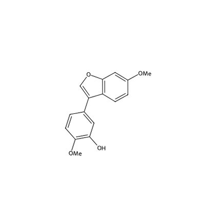 COc1ccc2c(-c3ccc(OC)c(O)c3)coc2c1